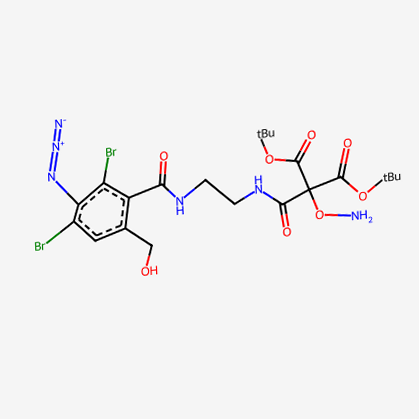 CC(C)(C)OC(=O)C(ON)(C(=O)NCCNC(=O)c1c(CO)cc(Br)c(N=[N+]=[N-])c1Br)C(=O)OC(C)(C)C